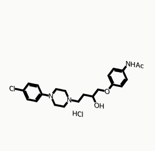 CC(=O)Nc1ccc(OCC(O)CCN2CCN(c3ccc(Cl)cc3)CC2)cc1.Cl